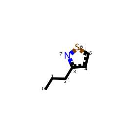 CC[CH]c1ccsn1